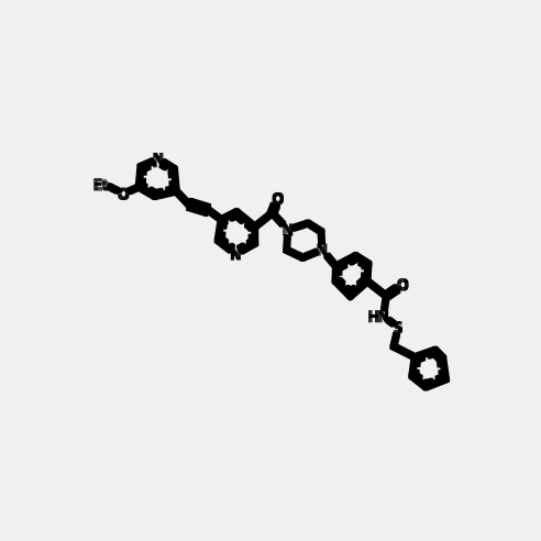 CCOc1cncc(C#Cc2cncc(C(=O)N3CCN(c4ccc(C(=O)NSCc5ccccc5)cc4)CC3)c2)c1